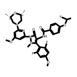 COc1cc(N2C[C@@H](C)O[C@@H](C)C2)nc(-n2c(=O)c(NC(=O)c3ccc(OC(C)F)cc3)c(-c3c(F)cc(OC)cc3F)n2C)c1